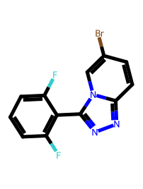 Fc1cccc(F)c1-c1nnc2ccc(Br)cn12